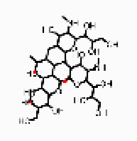 CNC1C(O)C(CC(C(C)C)C(CC2C(C)OC(C(O)C(O)CO)C(NC)C2O)C2C(C)OC(C(O)C(O)CO)C(NC)C2O)C(C)OC1C(O)C(O)CO